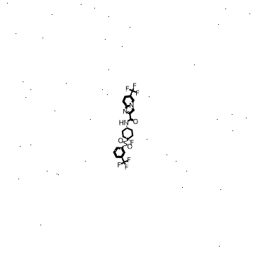 O=C(N[C@H]1CC[C@](F)(S(=O)(=O)c2cccc(C(F)(F)F)c2)CC1)c1cn2cc(C(F)(F)F)ccc2n1